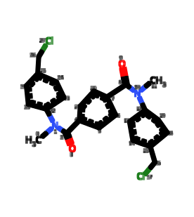 CN(C(=O)c1ccc(C(=O)N(C)c2ccc(CCl)cc2)cc1)c1ccc(CCl)cc1